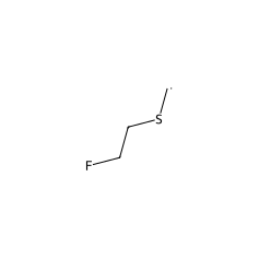 [CH2]SCCF